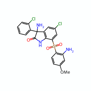 COc1ccc(S(=O)(=O)c2cc(Cl)cc3c2NC(=O)C3(N)c2ccccc2Cl)c(N)c1